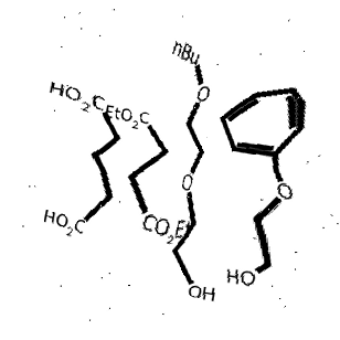 CCCCOCCOCCO.CCOC(=O)CCC(=O)OCC.O=C(O)CCCC(=O)O.OCCOc1ccccc1